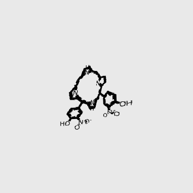 O=[N+]([O-])c1cc(-c2c3nc(cc4ccc(cc5nc(c(-c6ccc(O)c([N+](=O)[O-])c6)c6ccc2[nH]6)C=C5)[nH]4)C=C3)ccc1O